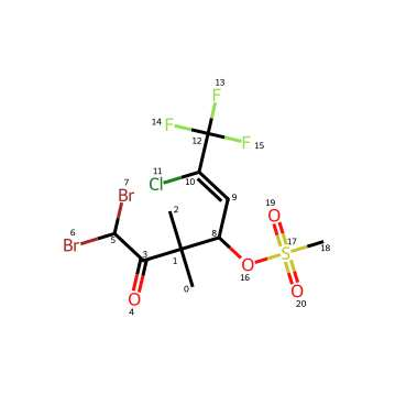 CC(C)(C(=O)C(Br)Br)C(C=C(Cl)C(F)(F)F)OS(C)(=O)=O